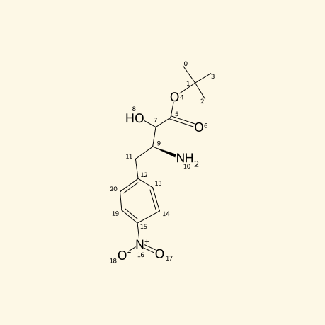 CC(C)(C)OC(=O)C(O)[C@@H](N)Cc1ccc([N+](=O)[O-])cc1